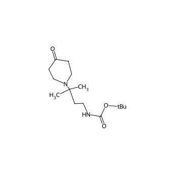 CC(C)(C)OC(=O)NCCC(C)(C)N1CCC(=O)CC1